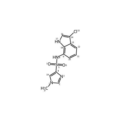 Cn1cnc(S(=O)(=O)Nc2cccc3c(Cl)c[nH]c23)c1